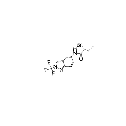 CC[C@@H](Br)C(=O)Nc1ccc2nn(C(F)(F)F)cc2c1